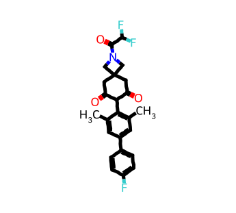 Cc1cc(-c2ccc(F)cc2)cc(C)c1C1C(=O)CC2(CC1=O)CN(C(=O)C(F)F)C2